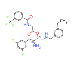 CCc1cccc(CNC[C@@H](OC(=O)CNC(=O)c2cccc(C(F)(F)F)c2)[C@@H](N)Cc2cc(F)cc(F)c2)c1